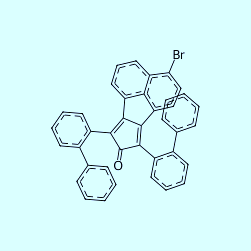 O=C1C(c2ccccc2-c2ccccc2)=C2C(=C1c1ccccc1-c1ccccc1)c1ccc(Br)c3cccc2c13